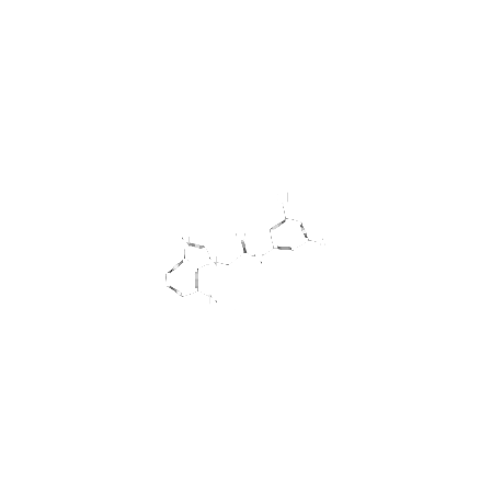 CC(=O)c1cc(NC(=O)Cn2cnc3cccc([N+](=O)[O-])c32)cc(C(F)(F)F)c1